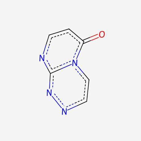 O=c1ccnc2nnccn12